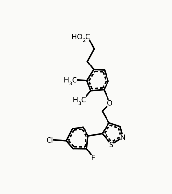 Cc1c(CCC(=O)O)ccc(OCc2cnsc2-c2ccc(Cl)cc2F)c1C